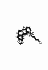 O=S(=O)(CCCCCl)N1CCC[C@H]2CN3CCc4cc5c(cc4[C@@H]3C[C@H]21)OCO5